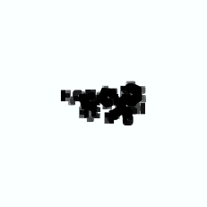 Cc1cc(C)n(C2CCN(c3c(C#N)c(=O)[nH]c4cccnc34)C2)n1